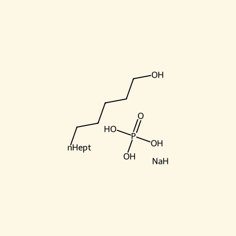 CCCCCCCCCCCCO.O=P(O)(O)O.[NaH]